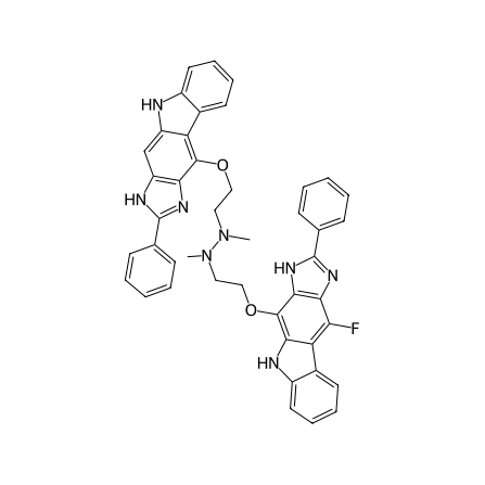 CN(CCOc1c2[nH]c(-c3ccccc3)nc2c(F)c2c1[nH]c1ccccc12)N(C)CCOc1c2nc(-c3ccccc3)[nH]c2cc2[nH]c3ccccc3c12